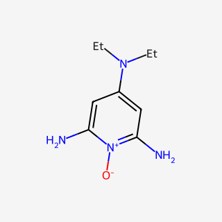 CCN(CC)c1cc(N)[n+]([O-])c(N)c1